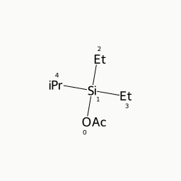 [CH2]C(=O)O[Si](CC)(CC)C(C)C